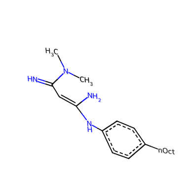 CCCCCCCCc1ccc(N/C(N)=C/C(=N)N(C)C)cc1